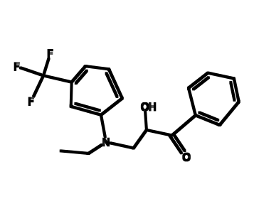 CCN(CC(O)C(=O)c1ccccc1)c1cccc(C(F)(F)F)c1